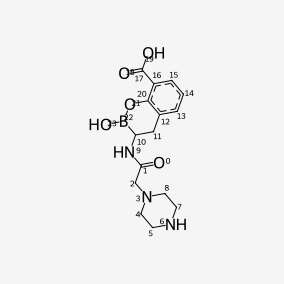 O=C(CN1CCNCC1)NC1Cc2cccc(C(=O)O)c2OB1O